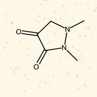 CN1CC(=O)C(=O)N1C